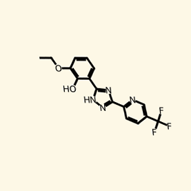 CCOc1cccc(-c2nc(-c3ccc(C(F)(F)F)cn3)n[nH]2)c1O